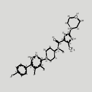 Cc1c(-c2ccc(F)cc2)nnc(N2CCC(N(C)C(=O)c3sc(N4CCOCC4)nc3C(F)(F)F)CC2)c1C